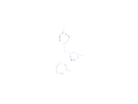 Cc1cc(Cc2nc(C(F)(F)F)nn2-c2ncc(C(F)(F)F)cc2Cl)ccc1N